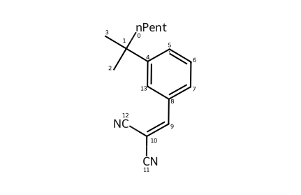 CCCCCC(C)(C)c1[c]ccc(C=C(C#N)C#N)c1